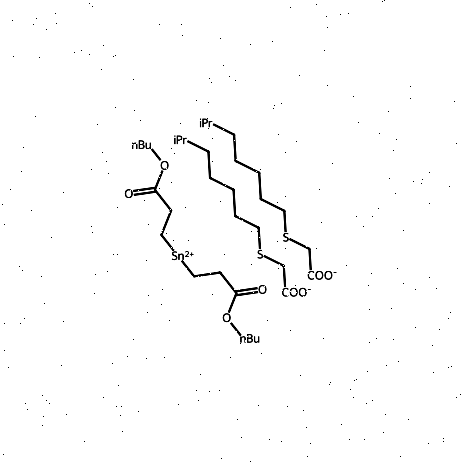 CC(C)CCCCCSCC(=O)[O-].CC(C)CCCCCSCC(=O)[O-].CCCCOC(=O)C[CH2][Sn+2][CH2]CC(=O)OCCCC